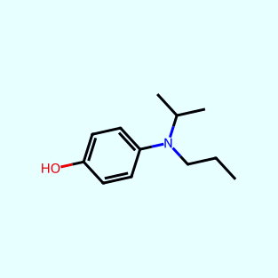 CCCN(c1ccc(O)cc1)C(C)C